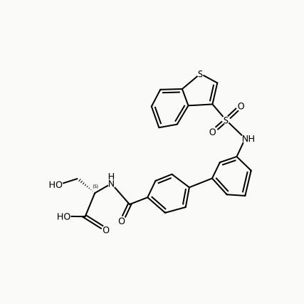 O=C(N[C@@H](CO)C(=O)O)c1ccc(-c2cccc(NS(=O)(=O)c3csc4ccccc34)c2)cc1